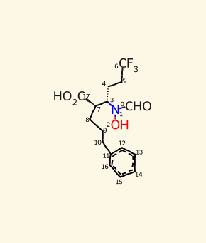 O=CN(O)[C@@H](CCC(F)(F)F)[C@@H](CCCc1ccccc1)C(=O)O